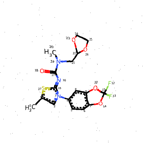 Cc1cn(-c2ccc3c(c2)OC(F)(F)O3)/c(=N/C(=O)N(C)CC2OCCO2)s1